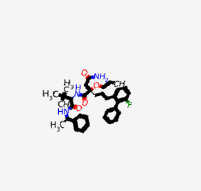 CC=CO[C@](CCCc1cccc(F)c1-c1ccccc1)(CC(N)=O)C(=O)N[C@H](C(=O)N[C@H](C)c1ccccc1)C(C)(C)C